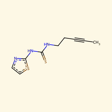 CC#CCCNC(=S)Nc1nccs1